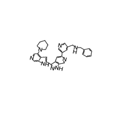 c1ccc(CNCc2cncc(-c3cc4c(-c5cc6c(N7CCCCC7)cncc6[nH]5)n[nH]c4cn3)c2)cc1